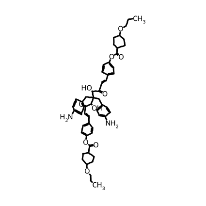 CCCOC1CCC(C(=O)Oc2ccc(/C=C/C(=O)C(O)C(Cc3ccc(N)cc3)(Cc3ccc(N)cc3)C(O)C(=O)/C=C/c3ccc(OC(=O)C4CCC(OCCC)CC4)cc3)cc2)CC1